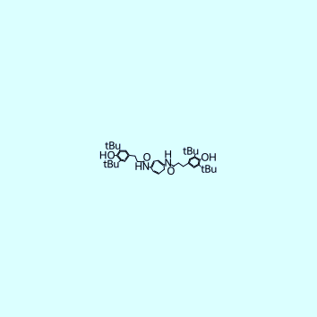 CC(C)(C)c1cc(CCC(=O)NC2=CC=C(NC(=O)CCc3cc(C(C)(C)C)c(O)c(C(C)(C)C)c3)CC=C2)cc(C(C)(C)C)c1O